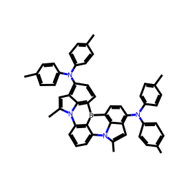 Cc1ccc(N(c2ccc(C)cc2)c2ccc3c4c2cc(C)n4-c2cccc4c2B3c2ccc(N(c3ccc(C)cc3)c3ccc(C)cc3)c3cc(C)n-4c23)cc1